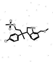 CSCc1cccc2c1NCC2C(C)(CCOS(C)(=O)=O)c1ccc(Cl)cc1